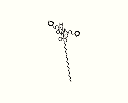 CCCCCCCCCCCCCCCCCCOC(=O)CN(C)/C(=N\C(=O)OCc1ccccc1)NC(=O)OCc1ccccc1